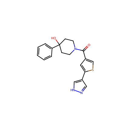 O=C(c1csc(-c2cn[nH]c2)c1)N1CCC(O)(c2ccccc2)CC1